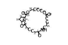 O=C1CCCCC(=O)[N+]2CCCC2C(=O)OCCCCOC(=O)CCCCN1